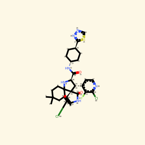 CC1(C)CCC2(CC1)N[C@@H](C(=O)N[C@H]1CC[C@H](c3nncs3)CC1)[C@H](c1ccnc(Cl)c1F)[C@]21C(=O)NC2C=C(Cl)C=CC21